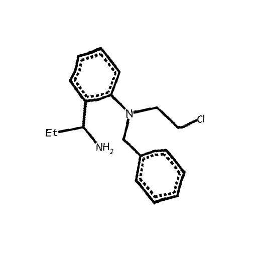 CCC(N)c1ccccc1N(CCCl)Cc1ccccc1